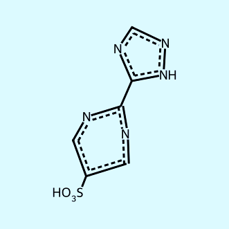 O=S(=O)(O)c1cnc(-c2ncn[nH]2)nc1